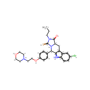 CCCN1C(=O)C2Cc3c([nH]c4ccc(Br)cc34)C(c3ccc(OCCN4CCOCC4)cc3)N2C1=S